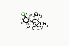 CC(CCC(C)C(C)(C#N)C(C)C)Cc1ccccc1Cl